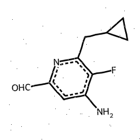 Nc1cc(C=O)nc(CC2CC2)c1F